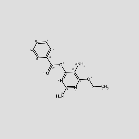 CCOc1nc(N)nc(OC(=O)c2ccccc2)c1N